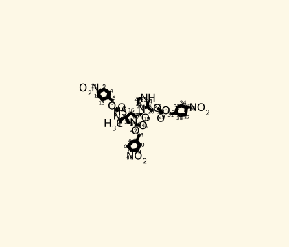 CC(=NC(=O)OCc1ccc([N+](=O)[O-])cc1)[C@]1(S)C[C@@H](C(=O)N2CCNCC2COC(=O)OCc2ccc([N+](=O)[O-])cc2)N(C(=O)OCc2ccc([N+](=O)[O-])cc2)C1